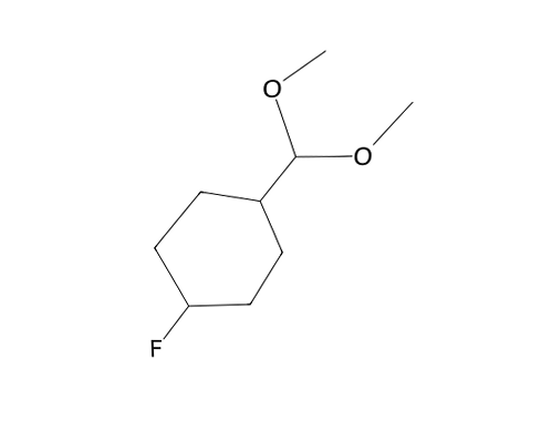 COC(OC)C1CCC(F)CC1